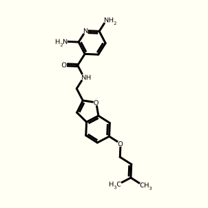 CC(C)=CCOc1ccc2cc(CNC(=O)c3ccc(N)nc3N)oc2c1